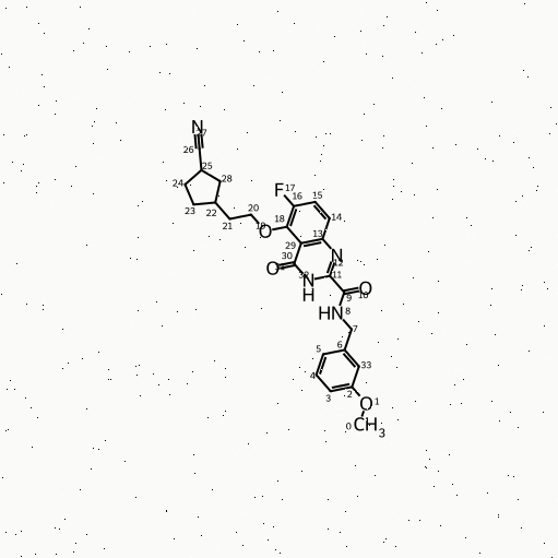 COc1cccc(CNC(=O)c2nc3ccc(F)c(OCCC4CCC(C#N)C4)c3c(=O)[nH]2)c1